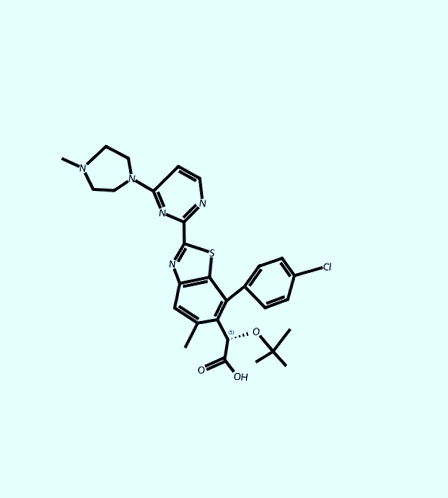 Cc1cc2nc(-c3nccc(N4CCN(C)CC4)n3)sc2c(-c2ccc(Cl)cc2)c1[C@H](OC(C)(C)C)C(=O)O